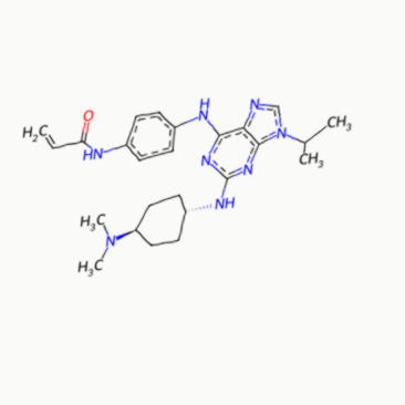 C=CC(=O)Nc1ccc(Nc2nc(N[C@H]3CC[C@H](N(C)C)CC3)nc3c2ncn3C(C)C)cc1